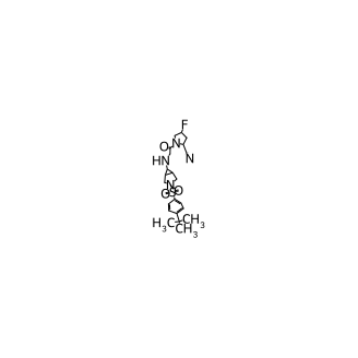 CC(C)(C)c1ccc(S(=O)(=O)N2CC3C(C2)C3NCC(=O)N2CC(F)CC2C#N)cc1